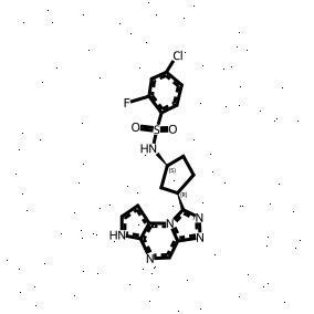 O=S(=O)(N[C@H]1CC[C@@H](c2nnc3cnc4[nH]ccc4n23)C1)c1ccc(Cl)cc1F